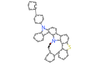 c1ccc(-c2ccc(-n3c4ccccc4c4c3ccc3c5ccc6sc7cccc8c9ccccc9c9ccccc9n(c5c6c78)c34)cc2)cc1